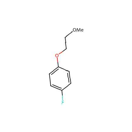 COCCOc1ccc(F)cc1